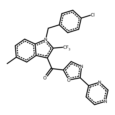 Cc1ccc2c(c1)c(C(=O)c1cnc(-c3ccncn3)o1)c(C(F)(F)F)n2Cc1ccc(Cl)cc1